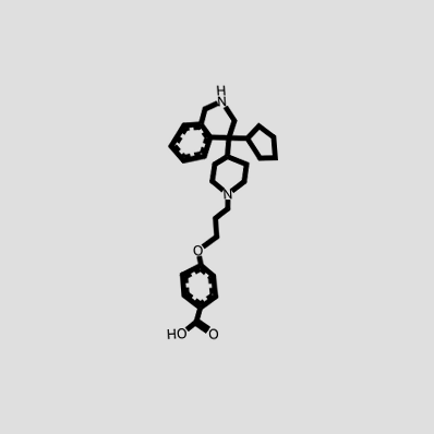 O=C(O)c1ccc(OCCCN2CCC(C3(C4CCCC4)CNCc4ccccc43)CC2)cc1